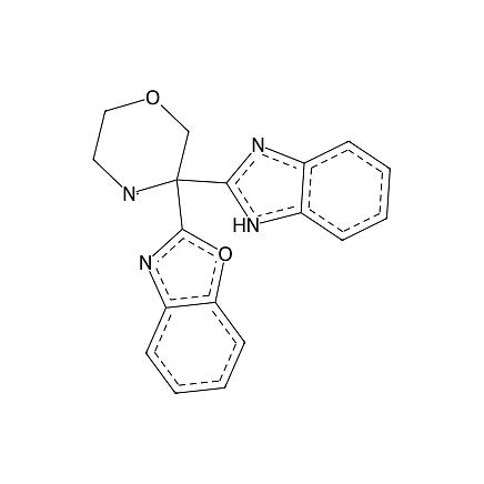 c1ccc2[nH]c(C3(c4nc5ccccc5o4)COCC[N]3)nc2c1